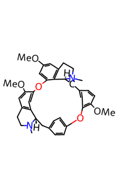 COc1cc2c3c(c1)Oc1cc4c(cc1OC)CCN(C)[C@H]4Cc1ccc(cc1)Oc1cc(ccc1OC)C[C@@H]3N(C)CC2